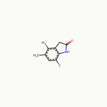 Cc1cc(F)c2c(c1Br)CC(=O)N2